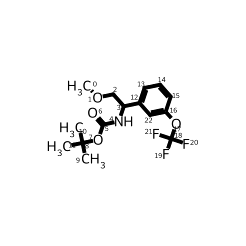 COCC(NC(=O)OC(C)(C)C)c1cccc(OC(F)(F)F)c1